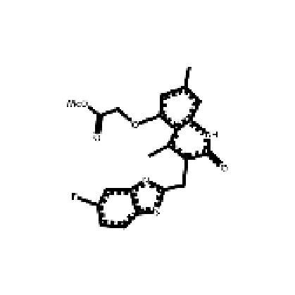 COC(=O)COc1cc(C)cc2[nH]c(=O)c(Cc3nc4cc(F)ccc4s3)c(C)c12